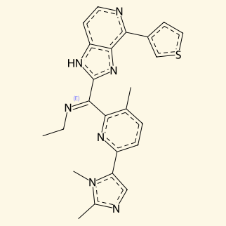 CC/N=C(/c1nc2c(-c3ccsc3)nccc2[nH]1)c1nc(-c2cnc(C)n2C)ccc1C